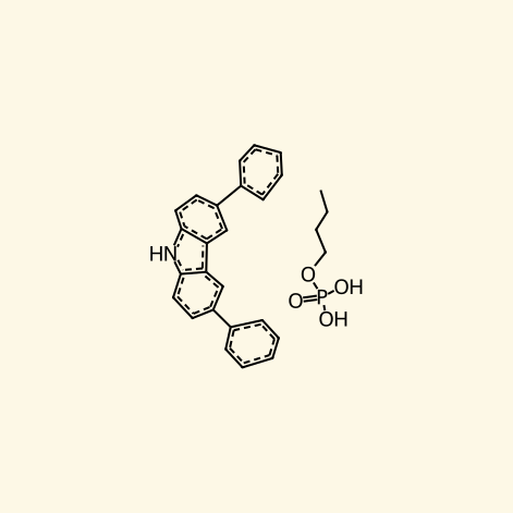 CCCCOP(=O)(O)O.c1ccc(-c2ccc3[nH]c4ccc(-c5ccccc5)cc4c3c2)cc1